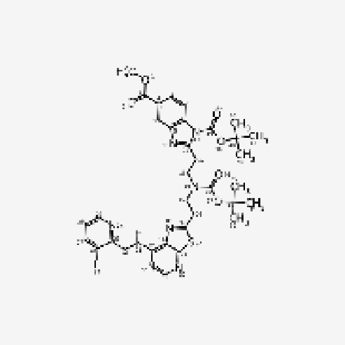 COC(=O)c1ccc2c(c1)nc(CCN(CCc1nc3c(NCc4ncccc4F)ncnc3s1)C(=O)OC(C)(C)C)n2C(=O)OC(C)(C)C